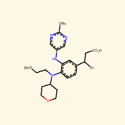 CCC(CC(=O)O)c1ccc(N(CCOC)C2CCOCC2)c(Nc2cnc(OC)nc2)c1